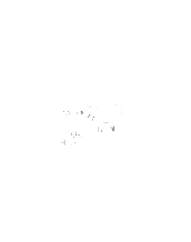 COc1nccc(-c2c(-c3ccc(F)cc3)ncn2C2CCC(O)(CO)CC2)n1